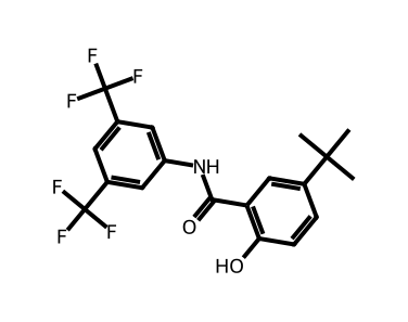 CC(C)(C)c1ccc(O)c(C(=O)Nc2cc(C(F)(F)F)cc(C(F)(F)F)c2)c1